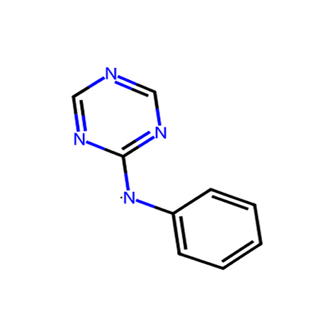 c1ccc([N]c2ncncn2)cc1